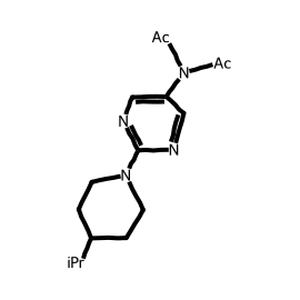 CC(=O)N(C(C)=O)c1cnc(N2CCC(C(C)C)CC2)nc1